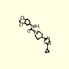 O=C(Nc1ccc2c(c1)OCO2)N1CCC(c2nnc(C3CC3)s2)CC1